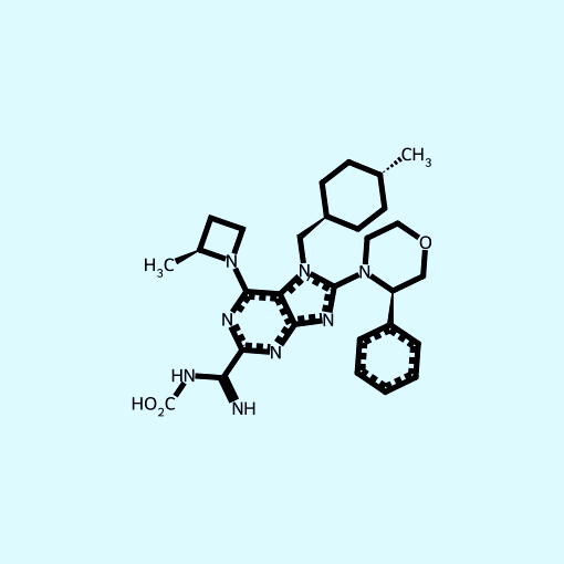 C[C@H]1CCN1c1nc(C(=N)NC(=O)O)nc2nc(N3CCOC[C@H]3c3ccccc3)n(C[C@H]3CC[C@H](C)CC3)c12